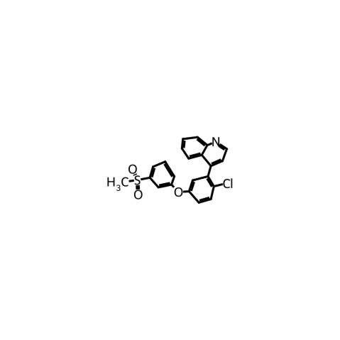 CS(=O)(=O)c1cccc(Oc2ccc(Cl)c(-c3ccnc4ccccc34)c2)c1